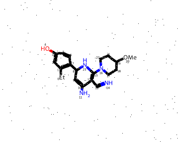 CCc1cc(O)ccc1C1C=C(N)C(C=N)=C(N2CCC(OC)CC2)N1